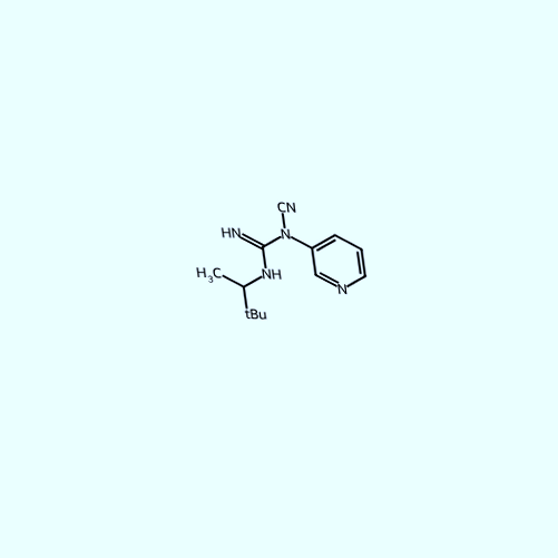 CC(NC(=N)N(C#N)c1cccnc1)C(C)(C)C